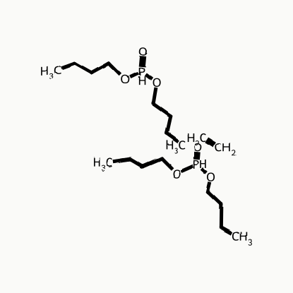 C=C.CCCCO[PH](=O)OCCCC.CCCCO[PH](=O)OCCCC